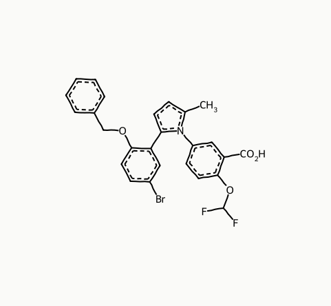 Cc1ccc(-c2cc(Br)ccc2OCc2ccccc2)n1-c1ccc(OC(F)F)c(C(=O)O)c1